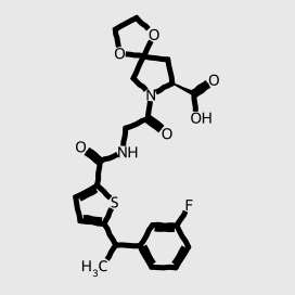 CC(c1cccc(F)c1)c1ccc(C(=O)NCC(=O)N2CC3(C[C@H]2C(=O)O)OCCO3)s1